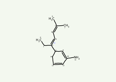 CC/C(=C\C=C(C)C)C1C=C(N)C=CC1